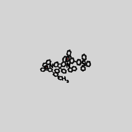 Cc1ccc(-c2cc(N(c3ccc4c(c3)C(c3ccccc3)(c3ccccc3)c3cc(N(c5cccc6ccccc56)c5cc(-c6ccc([Si](c7ccccc7)(c7ccccc7)c7ccccc7)cc6)cc6c5oc5ccccc56)c5ccccc5c3-4)c3cccc4ccccc34)c3oc4ccccc4c3c2)cc1